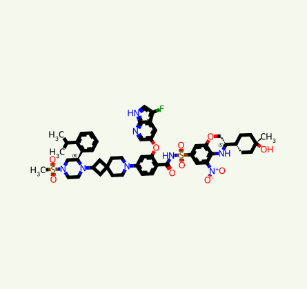 CC(C)c1ccccc1[C@@H]1CN(S(C)(=O)=O)CCN1C1CC2(CCN(c3ccc(C(=O)NS(=O)(=O)c4cc5c(c([N+](=O)[O-])c4)N[C@@H]([C@H]4CC[C@](C)(O)CC4)CO5)c(Oc4cnc5[nH]cc(F)c5c4)c3)CC2)C1